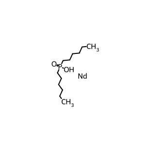 CCCCCCP(=O)(O)CCCCCC.[Nd]